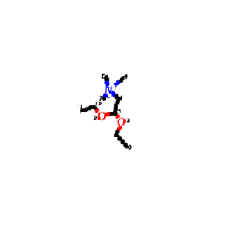 CCOC(C[N+](C)(C)C)OCC